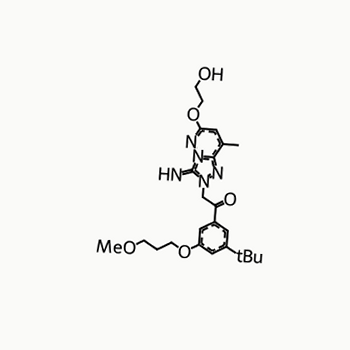 COCCCOc1cc(C(=O)Cn2nc3c(C)cc(OCCO)nn3c2=N)cc(C(C)(C)C)c1